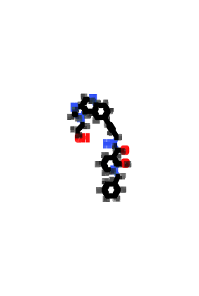 O=C(NCC#Cc1ccc2ncc3ncn(CCO)c3c2c1)c1cccn(Cc2ccccc2)c1=O